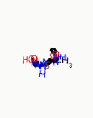 Cc1ncc(-c2ccc3nc(NCCN4CCN(CC(=O)O)CC4)sc3c2)cc1NC(=O)OC1CCCCC1